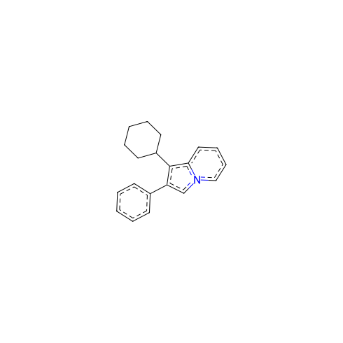 c1ccc(-c2cn3ccccc3c2C2CCCCC2)cc1